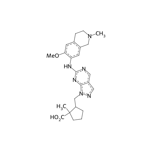 COc1cc2c(cc1Nc1ncc3cnn(CC4CCCC4(C)C(=O)O)c3n1)CN(C)CC2